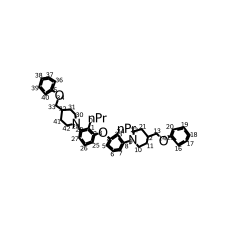 CCCc1c(Oc2cccc(N3CCC(COc4ccccc4)CC3)c2CCC)cccc1N1CCC(COc2ccccc2)CC1